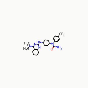 CN(C)c1nc(NC2CCC(N(C(N)=O)c3ccc(C(F)(F)F)cc3)CC2)nc2c1CCCC2